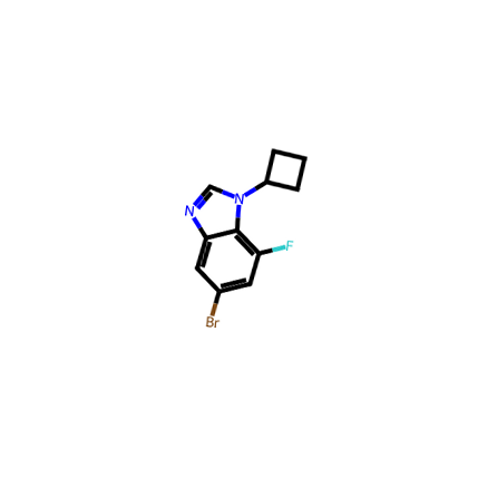 Fc1cc(Br)cc2ncn(C3CCC3)c12